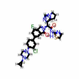 O=C(Nc1nccs1)C(c1ncn2c1CCC2)N1Cc2c(F)cc(-c3ccc(N4CCN(C5CC5)CC4)c(Cl)c3)cc2C1=O